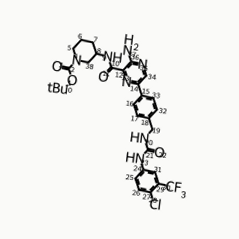 CC(C)(C)OC(=O)N1CCCC(NC(=O)c2nc(-c3ccc(CNC(=O)Nc4ccc(Cl)c(C(F)(F)F)c4)cc3)cnc2N)C1